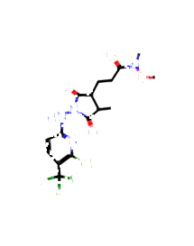 CON(C)C(=O)CCC1C(=O)N(Nc2ccc(C(F)(F)F)c(Cl)n2)C(=O)C1C